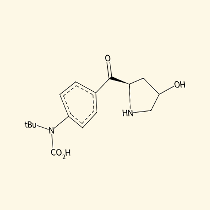 CC(C)(C)N(C(=O)O)c1ccc(C(=O)[C@H]2CC(O)CN2)cc1